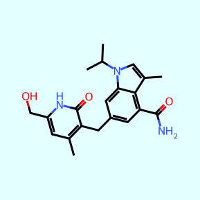 Cc1cc(CO)[nH]c(=O)c1Cc1cc(C(N)=O)c2c(C)cn(C(C)C)c2c1